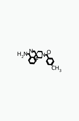 Cc1ccc(C(=O)N2CC[C@@]3(C=NC(N)c4ccccc43)[C@@H](F)C2)cc1